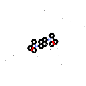 c1ccc(-c2ccccc2N(c2ccccc2)c2ccc3ccc4c(N(c5ccccc5)c5ccccc5-c5ccccc5)ccc5ccc2c3c54)cc1